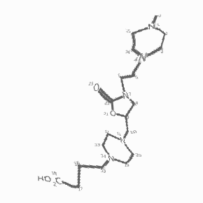 CN1CCN(CCN2CC(CN3CCN(CCCC(=O)O)CC3)OC2=O)CC1